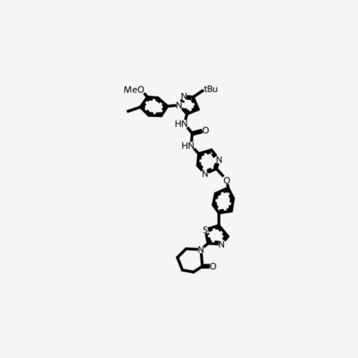 COc1cc(-n2nc(C(C)(C)C)cc2NC(=O)Nc2cnc(Oc3ccc(-c4cnc(N5CCCCC5=O)s4)cc3)nc2)ccc1C